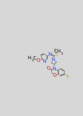 COc1ccc(/N=C(/SC)N2CC(N3C(=O)COc4cc(F)ccc43)C2)cn1